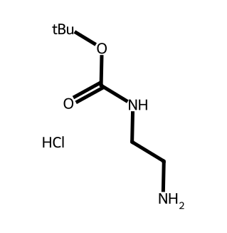 CC(C)(C)OC(=O)NCCN.Cl